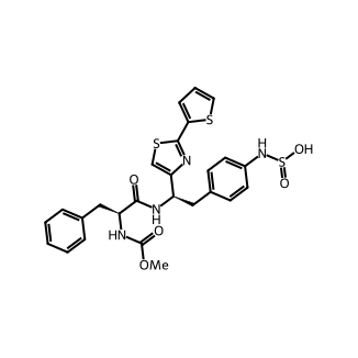 COC(=O)N[C@@H](Cc1ccccc1)C(=O)N[C@H](Cc1ccc(NS(=O)O)cc1)c1csc(-c2cccs2)n1